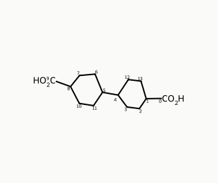 O=C(O)C1CCC(C2CCC(C(=O)O)CC2)CC1